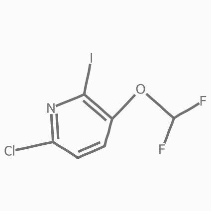 FC(F)Oc1ccc(Cl)nc1I